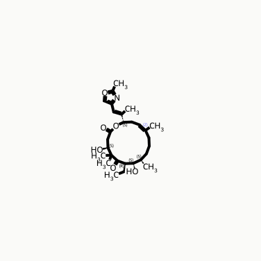 CC[C@H]1C(=O)C(C)(C)[C@@H](O)CC(=O)O[C@H](C(C)=Cc2coc(C)n2)C/C=C(/C)CCC[C@H](C)[C@@H]1O